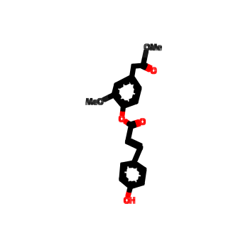 COC(=O)Cc1ccc(OC(=O)/C=C/c2ccc(O)cc2)c(OC)c1